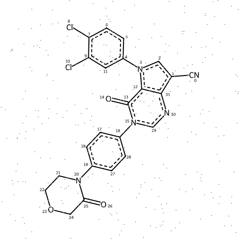 N#Cc1cn(-c2ccc(Cl)c(Cl)c2)c2c(=O)n(-c3ccc(N4CCOCC4=O)cc3)cnc12